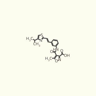 Cc1onc(C(=O)O)c1C(=O)Nc1cccc(C=Cc2nc(C(C)C)cs2)c1